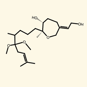 COC(CC=C(C)C)(OC)C(C)CCC[C@]1(C)OC/C(=C/CO)CC[C@H]1O